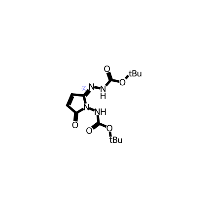 CC(C)(C)OC(=O)N/N=C1/C=CC(=O)N1NC(=O)OC(C)(C)C